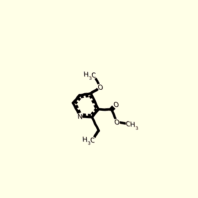 CCc1nccc(OC)c1C(=O)OC